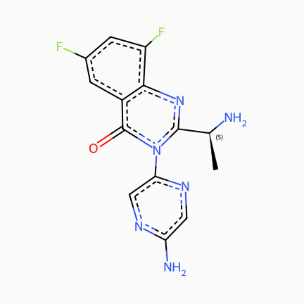 C[C@H](N)c1nc2c(F)cc(F)cc2c(=O)n1-c1cnc(N)cn1